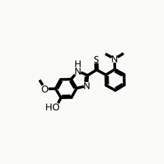 COc1cc2[nH]c(C(=S)c3ccccc3N(C)C)nc2cc1O